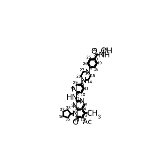 CC(=O)c1c(C)c2cnc(Nc3ccc(N4CCN(c5ccc(C(=O)NO)cc5)CC4)cn3)nc2n(C2CCCC2)c1=O